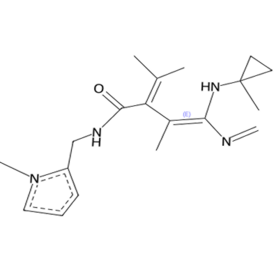 C=N/C(NC1(C)CC1)=C(\C)C(C(=O)NCc1cccn1C)=C(C)C